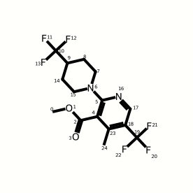 COC(=O)c1c(N2CCC(C(F)(F)F)CC2)ncc(C(F)(F)F)c1C